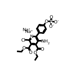 CCOC(=O)c1c(Cl)nc(-c2ccc(OP(=O)([O-])[O-])cc2)c(N)c1C(=O)OCC.[Na+].[Na+]